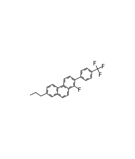 CCCc1ccc2c(ccc3c(F)c(-c4ccc(C(F)(F)F)cc4)ccc32)c1